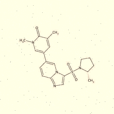 Cc1cc(-c2ccc3ncc(S(=O)(=O)N4CCC[C@@H]4C)n3c2)cn(C)c1=O